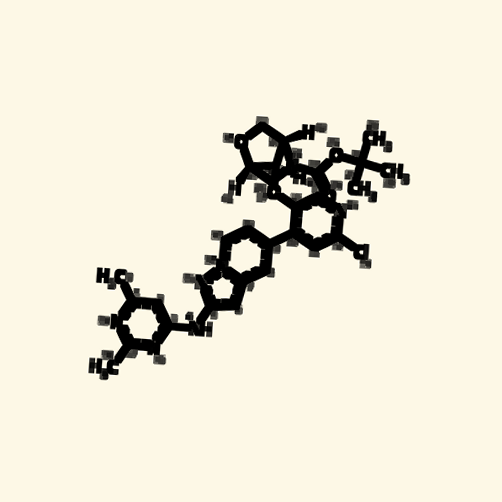 Cc1cc(Nc2cc3cc(-c4cc(Cl)ncc4O[C@H]4[C@@H]5CN(C(=O)OC(C)(C)C)[C@H]4CO5)ccn3n2)nc(C)n1